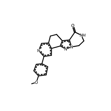 COc1ccc(-c2cc3c(cn2)CCc2c-3nn3c2C(=O)NCC3)cc1